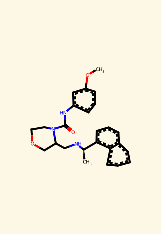 COc1cccc(NC(=O)N2CCOCC2CN[C@H](C)c2cccc3ccccc23)c1